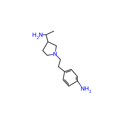 CC(N)C1CCN(CCc2ccc(N)cc2)C1